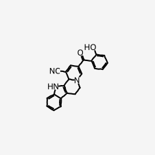 N#CC1=CC(C(=O)c2ccccc2O)=CN2CCc3c([nH]c4ccccc34)C12